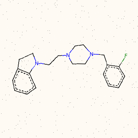 Fc1ccccc1CN1CCN(CCN2CCc3ccccc32)CC1